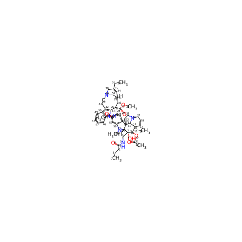 CCCC(=O)NCC1(O)[C@H](OC(C)=O)[C@]2(CC)C=CCN3CC[C@@]4(c5cc([C@@]6(C(=O)OC)C[C@@H]7C=C(CC)CN(CCc8c6[nH]c6ccccc86)C7)c(OC)cc5N(C)[C@@H]14)C32